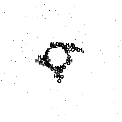 COc1ccc(CC[C@H]2OC(=O)[C@@H]3CCCCN3C(=O)C(=O)C(C)(C)COC(=O)/C=C/CCCCN(C)C(=O)[C@H](CC(C)C)N(C)C(=O)[C@H]3CCCN3C(=O)[C@H](Cc3ccc(CNC(=O)c4ccccc4)cc3)NC(=O)[C@H](c3ccccc3)NC(=O)CCC(=O)Nc3cccc2c3)cc1OC